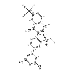 CCS(=O)(=O)c1cc(-c2cc(Cl)cc(Cl)c2)cnc1-n1nc(C)c2ccc(C(F)(F)F)cc2c1=O